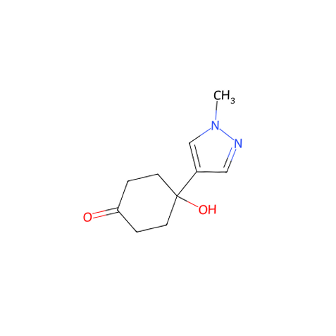 Cn1cc(C2(O)CCC(=O)CC2)cn1